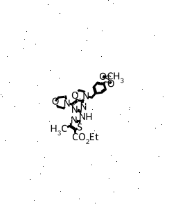 CCOC(=O)c1sc(Nc2nc(N3CCOCC3)c3c(n2)N(Cc2ccc(S(C)(=O)=O)cc2)CCO3)nc1C